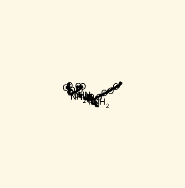 C#CCOCCOCCOCCOCCC(=O)N(C/C(N)=C/C)C/C(=C/NCCO[C@@H]([C@@H]1OC(C(=O)OC)=CC[C@H]1N)[C@H]1COC(=O)O1)N=N